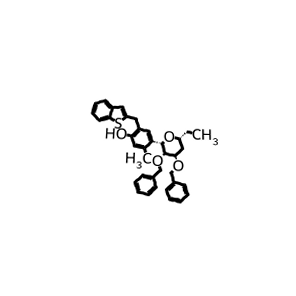 CC[C@@H]1C[C@H](OCc2ccccc2)[C@@H](OCc2ccccc2)[C@H](c2cc(Cc3cc4ccccc4s3)c(O)cc2C)O1